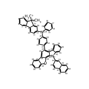 CC1(C)c2ccccc2-c2ccc(N(c3ccccc3)c3ccc(-c4cc5c6ccccc6oc5c5c4c4ccccc4n5-c4ccc5ccccc5c4)cc3)cc21